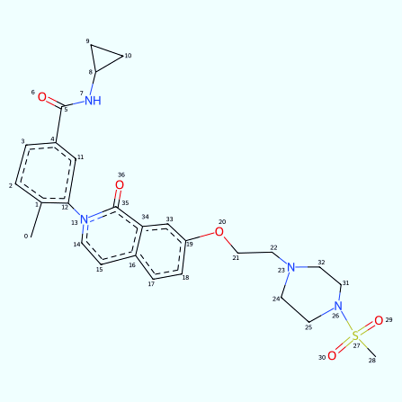 Cc1ccc(C(=O)NC2CC2)cc1-n1ccc2ccc(OCCN3CCN(S(C)(=O)=O)CC3)cc2c1=O